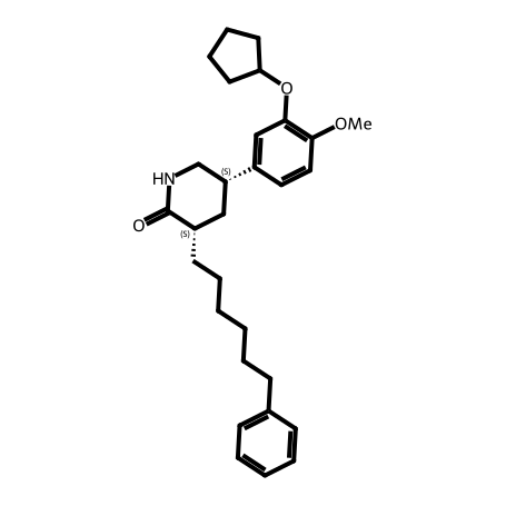 COc1ccc([C@H]2CNC(=O)[C@@H](CCCCCCc3ccccc3)C2)cc1OC1CCCC1